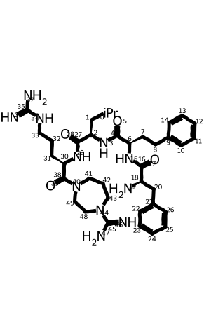 CC(C)C[C@@H](NC(=O)[C@@H](CCc1ccccc1)NC(=O)[C@H](N)Cc1ccccc1)C(=O)N[C@H](CCCNC(=N)N)C(=O)N1CCCN(C(=N)N)CC1